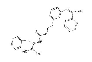 N#CC(=Cc1cccc(CCOC(=O)N[C@@H](Cc2ccccc2)B(O)O)c1)c1ccccn1